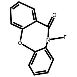 O=C1c2ccccc2Oc2ccccc2N1F